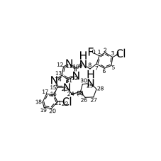 Fc1cc(Cl)ccc1CNc1ncc2nc(-c3ccccc3Cl)n(C[C@@H]3CCCNC3)c2n1